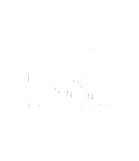 Cc1cccc(-c2nc(COc3ccccc3)cc(N3CC(C)OC(C)C3)n2)n1